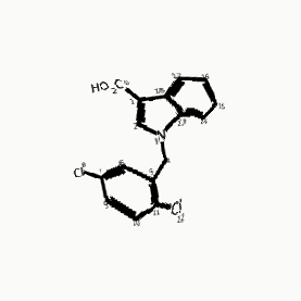 O=C(O)c1cn(Cc2cc(Cl)ccc2Cl)c2ccccc12